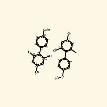 CCOc1ccc(-c2c(F)cc(C#N)cc2Cl)cc1.COc1ccc(-c2c(F)cc(C#N)cc2Cl)cc1